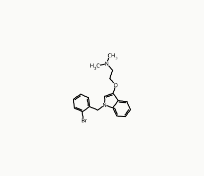 CN(C)CCOc1cn(Cc2ccccc2Br)c2ccccc12